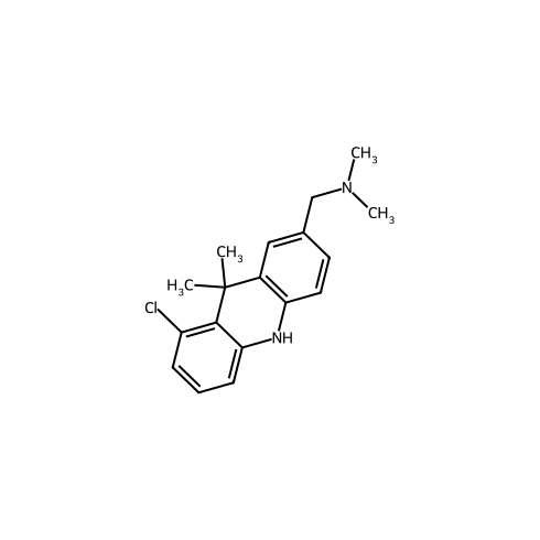 CN(C)Cc1ccc2c(c1)C(C)(C)c1c(Cl)cccc1N2